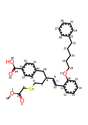 COC(=O)CSCCC(/C=C/c1ccccc1OCCCCCc1ccccc1)Cc1ccc(C(=O)O)cc1